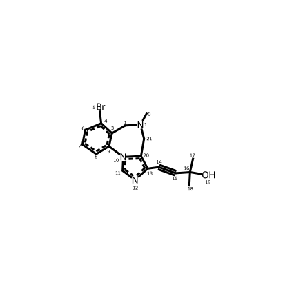 CN1Cc2c(Br)cccc2-n2cnc(C#CC(C)(C)O)c2C1